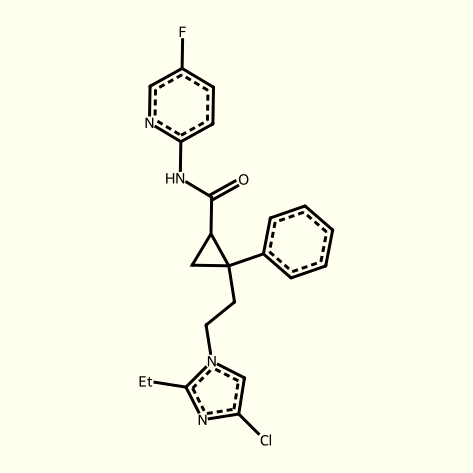 CCc1nc(Cl)cn1CCC1(c2ccccc2)CC1C(=O)Nc1ccc(F)cn1